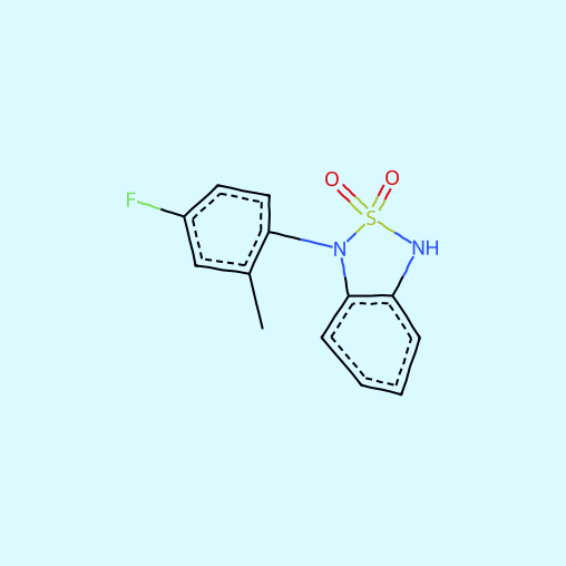 Cc1cc(F)ccc1N1c2ccccc2NS1(=O)=O